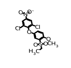 CCS(=O)(=O)c1cc(Oc2c(Cl)cc([N+](=O)[O-])cc2Cl)ccc1OC